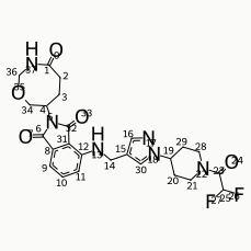 O=C1CCC(N2C(=O)c3cccc(NCc4cnn(C5CCN(C(=O)C(F)F)CC5)c4)c3C2=O)COCN1